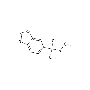 CSC(C)(C)c1ccc2ncsc2c1